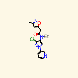 CCN(C(=O)Cc1cc(C)no1)c1cn(-c2cccnc2)nc1Cl